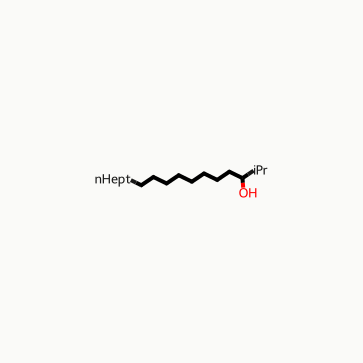 [CH2]C(C)C(O)CCCCCCCCCCCCCCC